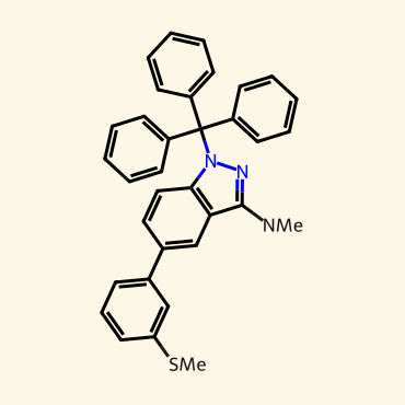 CNc1nn(C(c2ccccc2)(c2ccccc2)c2ccccc2)c2ccc(-c3cccc(SC)c3)cc12